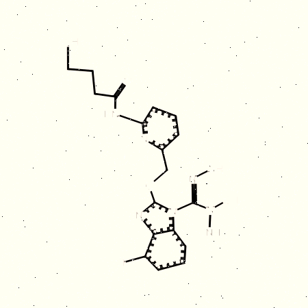 CCCCC(=O)Nc1cccc(COc2nc3c(Cl)cccc3n2/C(=N/N)N(C)N)n1